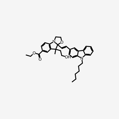 CCCCCCn1c2ccccc2c2cc(/C=C/C34OCCN3c3ccc(C(=O)OCC)cc3C4(C)CCO)ccc21